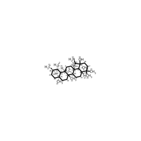 C[C@@H]1[C@H]2[C@H]3CC[C@@H]4[C@]5(C)[C@@H](CC[C@@]4(C)[C@]3(C)CC[C@@]2(C)CC[C@H]1C)C(C)(C)CCC5(O)C(N)=O